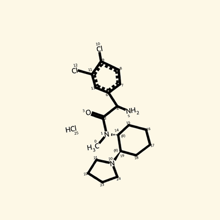 CN(C(=O)C(N)c1ccc(Cl)c(Cl)c1)[C@@H]1CCCC[C@H]1N1CCCC1.Cl